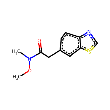 CON(C)C(=O)Cc1ccc2ncsc2c1